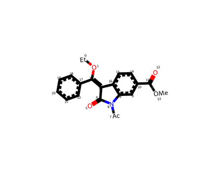 CCO/C(=C1/C(=O)N(C(C)=O)c2cc(C(=O)OC)ccc21)c1ccccc1